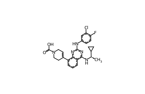 C[C@@H](Nc1nc(Nc2ccc(F)c(Cl)c2)nc2c(C3=CCN(C(=O)O)CC3)cccc12)C1CC1